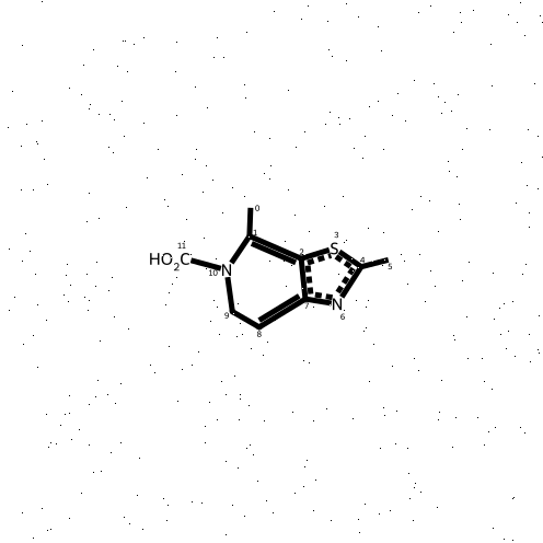 CC1=c2sc(C)nc2=CCN1C(=O)O